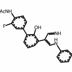 CC(=O)Nc1ccc(-c2cccc(/C(C=N)=C/Nc3ccccc3)c2O)cc1F